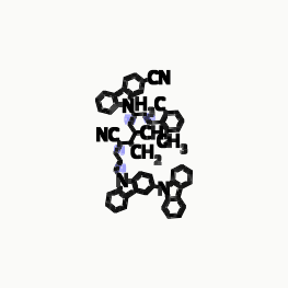 C=C(/C=C(\C=C\c1c(C)cccc1C)n1c2ccccc2c2ccc(C#N)cc21)C(=C)/C(C#N)=C\C=C\n1c2ccccc2c2cc(-n3c4ccccc4c4ccccc43)ccc21